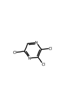 Clc1[c]nc(Cl)c(Cl)n1